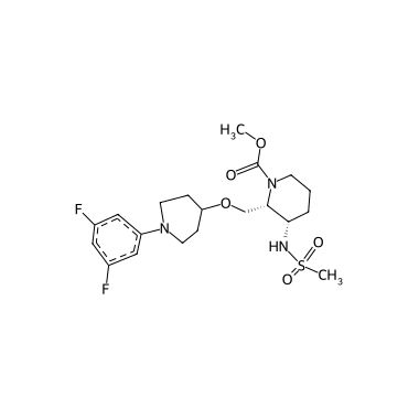 COC(=O)N1CCC[C@H](NS(C)(=O)=O)[C@@H]1COC1CCN(c2cc(F)cc(F)c2)CC1